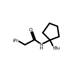 CC(C)CC(=O)NC1(C(C)(C)C)CCCC1